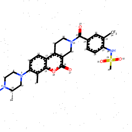 Cc1c(N2CCN(C)[C@@H](C)C2)ccc2c3c(c(=O)oc12)CN(C(=O)c1ccc(NS(C)(=O)=O)c(C(F)(F)F)c1)CC3